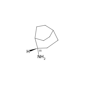 N[C@H]1CCC2CCC1CC2